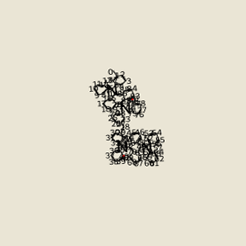 Cc1cccc(N(c2ccccc2C)c2c3ccccc3c(N(c3cccc(Cc4cccc(N(c5ccccc5C)c5c6ccccc6c(N(c6ccccc6C)c6ccccc6C)c6ccccc56)c4C)c3)c3ccccc3C)c3ccccc23)c1